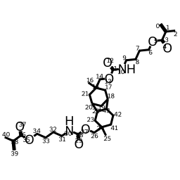 C=C(C)C(=O)OCCCCNC(=O)OCC1(C)CC2CC(C1)C1CC(C)(COC(=O)NCCCCOC(=O)C(=C)C)CCC21